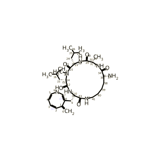 C=C1/C=C\C=CN/C=C\1C[C@@H]1NC(=O)[C@H](CC(C)C)N(C)C(=O)[C@H](CC(C)C)NC(=O)[C@H](C)NC(=O)[C@H](N)CCCCNC1=O